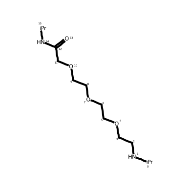 CC(C)NCCOCCOCCOCC(=O)NC(C)C